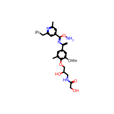 C=C(/N=C(\ON)c1cc(C)nc(CC(C)C)c1)c1cc(C)c(OCC(O)CNC(=O)CO)c(OC)c1